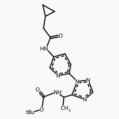 CC(NC(=O)OC(C)(C)C)c1ncnn1-c1ccc(NC(=O)CC2CC2)cn1